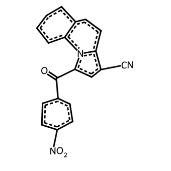 N#Cc1cc(C(=O)c2ccc([N+](=O)[O-])cc2)n2c1ccc1ccccc12